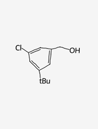 CC(C)(C)c1cc(Cl)cc(CO)c1